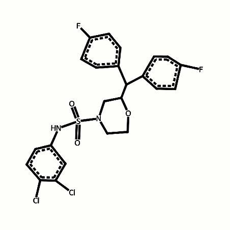 O=S(=O)(Nc1ccc(Cl)c(Cl)c1)N1CCOC(C(c2ccc(F)cc2)c2ccc(F)cc2)C1